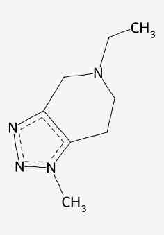 CCN1CCc2c(nnn2C)C1